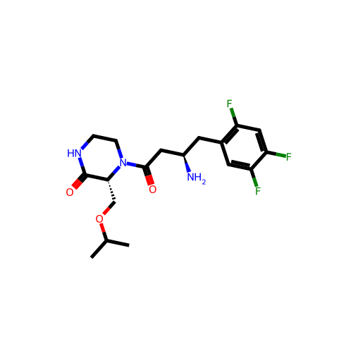 CC(C)OC[C@@H]1C(=O)NCCN1C(=O)C[C@H](N)Cc1cc(F)c(F)cc1F